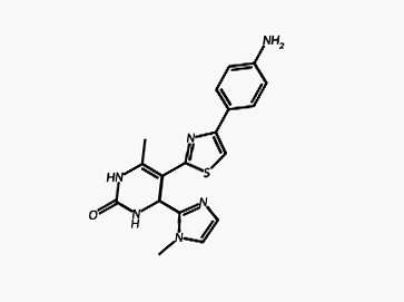 CC1=C(c2nc(-c3ccc(N)cc3)cs2)C(c2nccn2C)NC(=O)N1